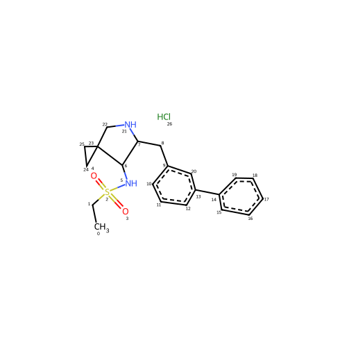 CCS(=O)(=O)NC1C(Cc2cccc(-c3ccccc3)c2)NCC12CC2.Cl